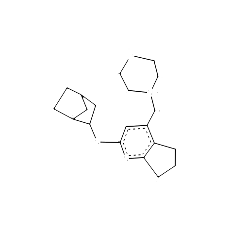 c1c(NC2CC3CCC2C3)nc2c(c1CN1CCOCC1)CCC2